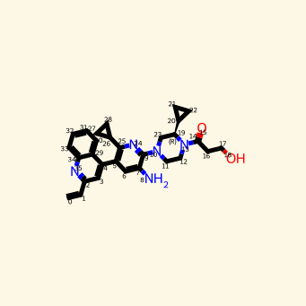 C=Cc1cc(-c2cc(N)c(N3CCN(C(=O)CCO)[C@H](C4CC4)C3)nc2C2CC2)c2ccccc2n1